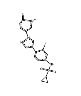 Cn1cc(-n2cc(-c3ccc(NS(=O)(=O)C4CC4)cc3F)cn2)ccc1=O